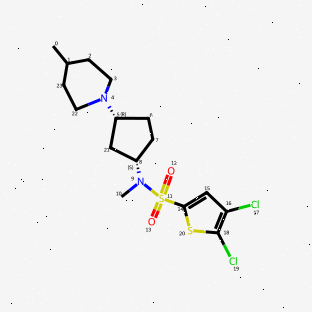 CC1CCN([C@@H]2CC[C@H](N(C)S(=O)(=O)c3cc(Cl)c(Cl)s3)C2)CC1